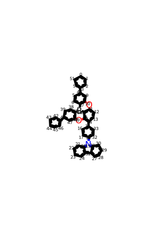 c1ccc(-c2ccc3c(c2)Oc2ccc(-c4ccc(-n5c6ccccc6c6ccccc65)cc4)c4c2B3c2ccc(-c3ccccc3)cc2O4)cc1